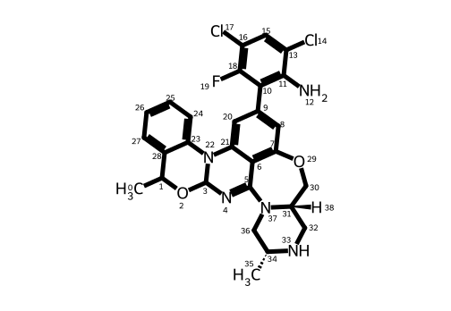 CC1OC2N=C3c4c(cc(-c5c(N)c(Cl)cc(Cl)c5F)cc4N2c2ccccc21)OC[C@@H]1CN[C@H](C)CN31